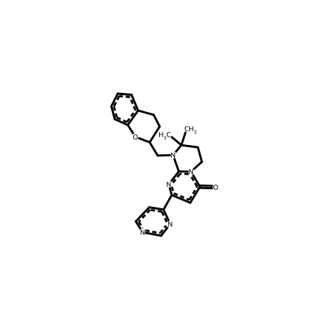 CC1(C)CCn2c(nc(-c3ccncn3)cc2=O)N1CC1CCc2ccccc2O1